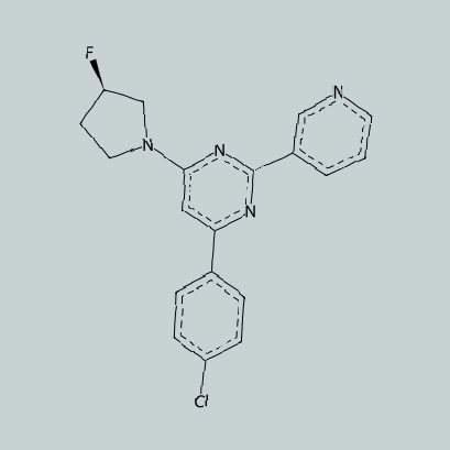 F[C@@H]1CCN(c2cc(-c3ccc(Cl)cc3)nc(-c3cccnc3)n2)C1